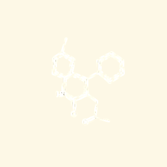 CC(=O)Cc1c(-c2ccccc2)c2cc(C)ccc2[nH]c1=O